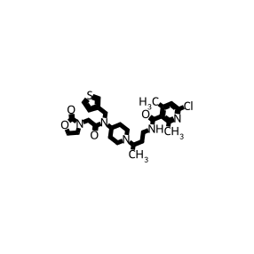 Cc1cc(Cl)nc(C)c1C(=O)NCCC(C)N1CCC(N(Cc2ccsc2)C(=O)CN2CCOC2=O)CC1